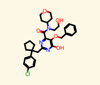 O=C(c1nc(CC2(c3ccc(Cl)cc3)CCCC2)nc(O)c1OCc1ccccc1)N(CCO)C1CCOCC1